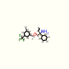 C=C[C@@](N)(CO[C@H](C)c1cc(C)cc(C(F)(F)F)c1)c1ccccc1